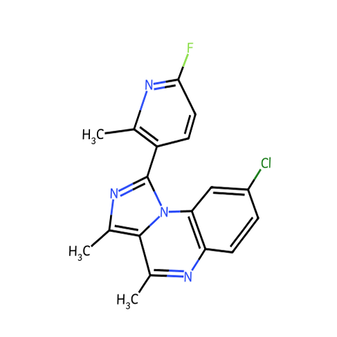 Cc1nc(F)ccc1-c1nc(C)c2c(C)nc3ccc(Cl)cc3n12